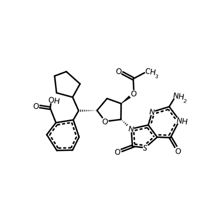 CC(=O)O[C@@H]1C[C@@H](C(c2ccccc2C(=O)O)C2CCCC2)O[C@H]1n1c(=O)sc2c(=O)[nH]c(N)nc21